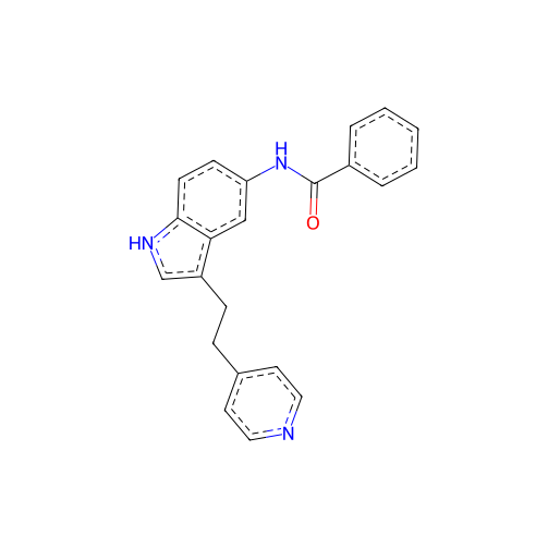 O=C(Nc1ccc2[nH]cc(CCc3ccncc3)c2c1)c1ccccc1